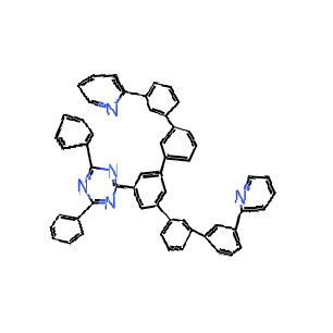 c1ccc(-c2nc(-c3ccccc3)nc(-c3cc(-c4cccc(-c5cccc(-c6ccccn6)c5)c4)cc(-c4cccc(-c5cccc(-c6ccccn6)c5)c4)c3)n2)cc1